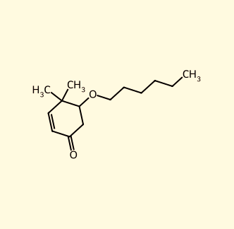 CCCCCCOC1CC(=O)C=CC1(C)C